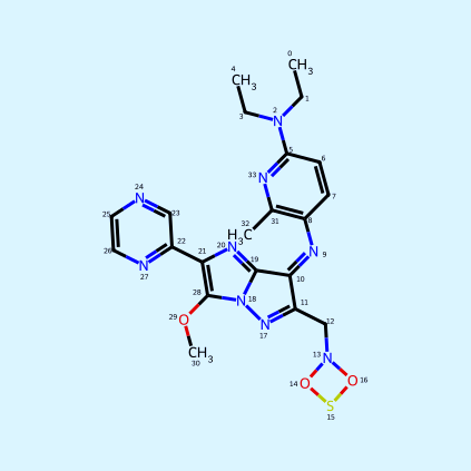 CCN(CC)c1ccc(/N=C2/C(CN3OSO3)=Nn3c2nc(-c2cnccn2)c3OC)c(C)n1